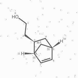 OCC[C@H]1C[C@@H]2C=C[C@H]1C2